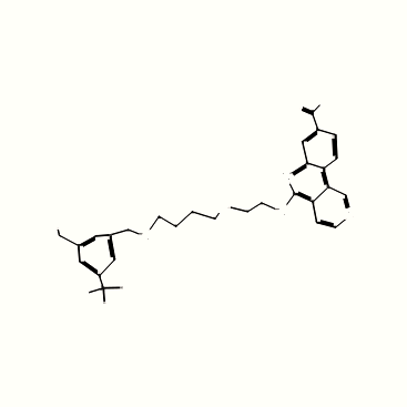 O=C(O)c1ccc2c(c1)nc(NCCOCCCCNCc1cc(CO)cc(C(F)(F)F)c1)c1ccncc12